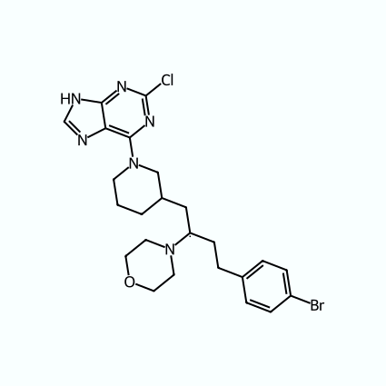 Clc1nc(N2CCCC(C[C](CCc3ccc(Br)cc3)N3CCOCC3)C2)c2nc[nH]c2n1